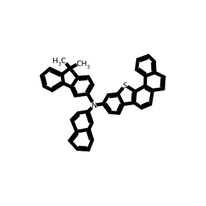 CC1(C)c2ccccc2-c2cc(N(c3ccc4ccccc4c3)c3ccc4c(c3)sc3c4ccc4ccc5ccccc5c43)ccc21